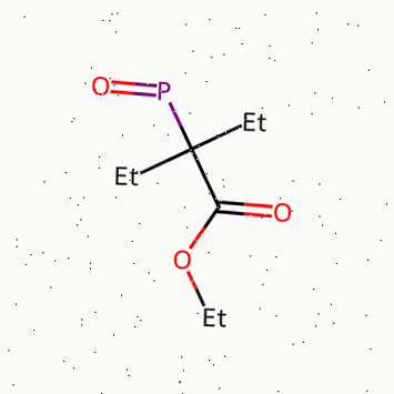 CCOC(=O)C(CC)(CC)P=O